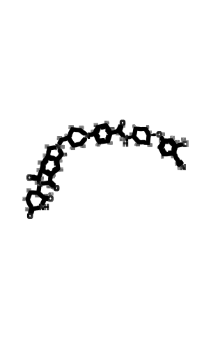 N#Cc1ccc(O[C@H]2CC[C@H](NC(=O)c3ccc(N4CCC(CN5Cc6cc7c(cc6C5)C(=O)N(C5CCC(=O)NC5=O)C7=O)CC4)cc3)CC2)cc1Cl